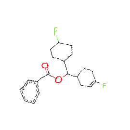 O=C(OC(C1CC=C(F)CC1)C1CCC(F)CC1)c1ccccc1